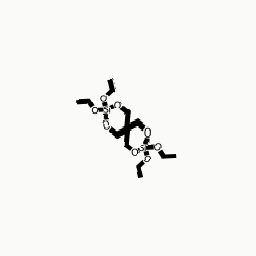 CCO[Si]1(OCC)OCC2(CO1)CO[Si](OCC)(OCC)OC2